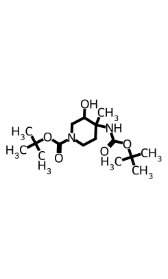 CC(C)(C)OC(=O)NC1(C)CCN(C(=O)OC(C)(C)C)CC1O